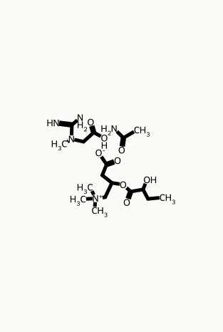 CC(N)=O.CCC(O)C(=O)OC(CC(=O)[O-])C[N+](C)(C)C.CN(CC(=O)O)C(=N)N